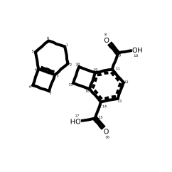 C1CCC2=C(C1)CC2.O=C(O)c1ccc(C(=O)O)c2c1CC2